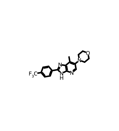 Cc1c(N2CCOCC2)cnc2[nH]c(-c3ccc(C(F)(F)F)cc3)nc12